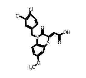 COc1ccc2c(c1)S/C(=C\C(=O)O)C(=O)N2Cc1ccc(Cl)c(Cl)c1